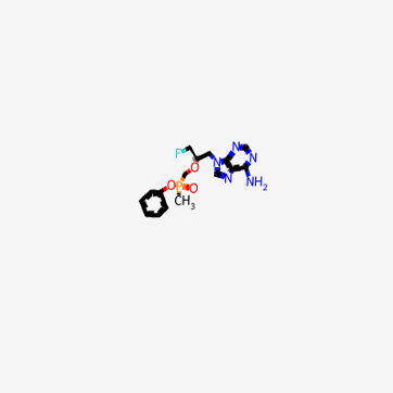 CP(=O)(CO[C@@H](CF)Cn1cnc2c(N)ncnc21)Oc1ccccc1